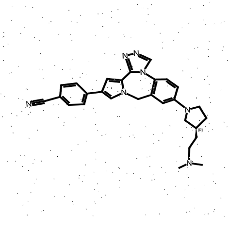 CN(C)CC[C@@H]1CCN(c2ccc3c(c2)Cn2cc(-c4ccc(C#N)cc4)cc2-c2nncn2-3)C1